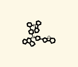 c1ccc(-n2c3ccccc3c3ccccc32)c(-c2ccc(N(c3ccc(-c4ccc5c(c4)oc4ccccc45)cc3)c3cc4ccccc4c4ccccc34)cc2)c1